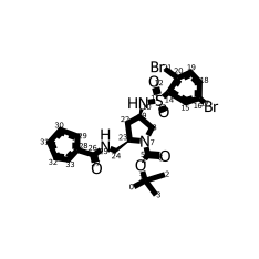 CC(C)(C)OC(=O)N1C[C@H](NS(=O)(=O)c2cc(Br)ccc2Br)C[C@@H]1CNC(=O)c1ccccc1